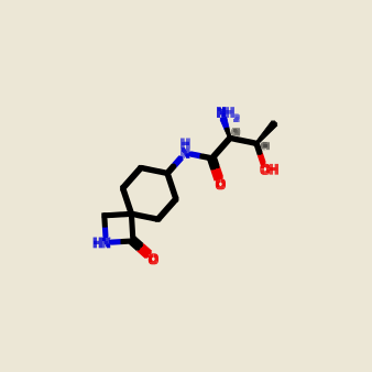 C[C@@H](O)[C@H](N)C(=O)NC1CCC2(CC1)CNC2=O